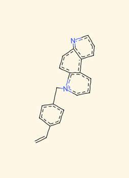 C=Cc1ccc(C[n+]2cccc3c4cccnc4ccc32)cc1